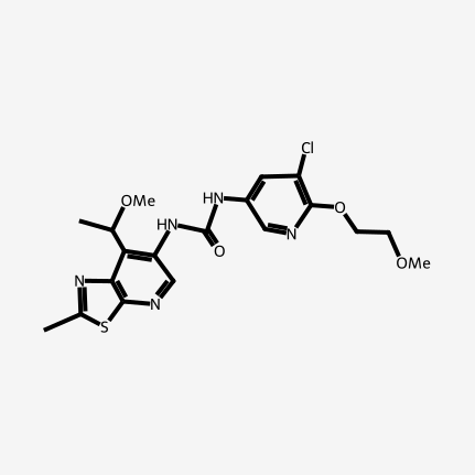 COCCOc1ncc(NC(=O)Nc2cnc3sc(C)nc3c2C(C)OC)cc1Cl